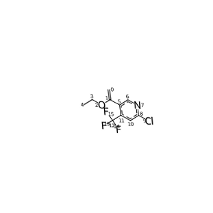 C=C(OCC)c1cnc(Cl)cc1C(F)(F)F